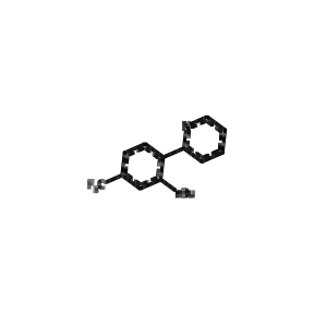 CCCCc1cc(C(F)(F)F)ccc1-c1ccccn1